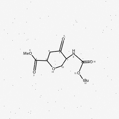 COC(=O)C1CC(=O)C(NC(=O)OC(C)(C)C)CO1